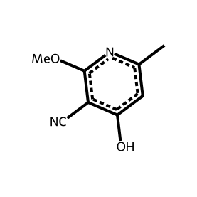 COc1nc(C)cc(O)c1C#N